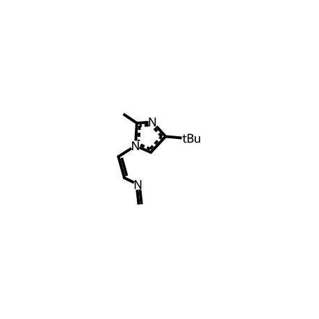 C=N/C=C\n1cc(C(C)(C)C)nc1C